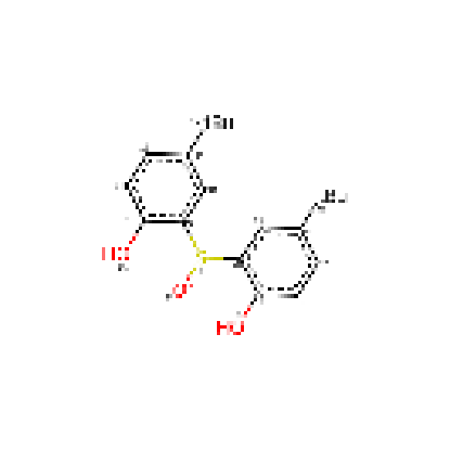 CC(C)(C)c1ccc(O)c([S+]([O-])c2cc(C(C)(C)C)ccc2O)c1